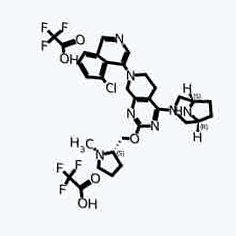 CN1CCC[C@H]1COc1nc2c(c(N3C[C@H]4CC[C@@H](C3)N4)n1)CCN(c1cncc3cccc(Cl)c13)C2.O=C(O)C(F)(F)F.O=C(O)C(F)(F)F